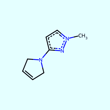 Cn1ccc(N2CC=CC2)n1